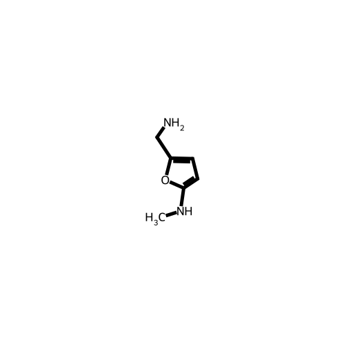 CNc1ccc(CN)o1